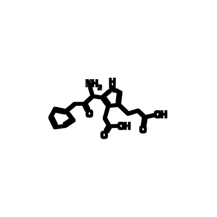 NC(C(=O)Cc1ccccc1)c1[nH]cc(CCC(=O)O)c1CC(=O)O